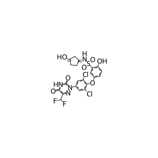 O=c1[nH]c(=O)n(-c2cc(Cl)c(Oc3ccc(O)c(S(=O)(=O)N[C@@H]4CC[C@H](O)C4)c3)c(Cl)c2)nc1C(F)F